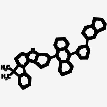 CC1(C)c2ccccc2-c2c1ccc1oc3cc(-c4c5ccccc5c(-c5cccc(-c6ccc7ccccc7c6)c5)c5ccccc45)ccc3c21